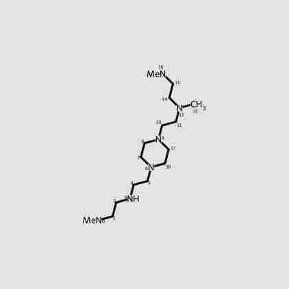 CNCCNCCN1CCN(CCN(C)CCNC)CC1